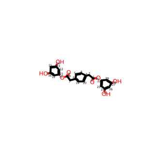 O=C(Cc1ccc(CC(=O)Oc2cc(O)cc(O)c2)cc1)Oc1cc(O)cc(O)c1